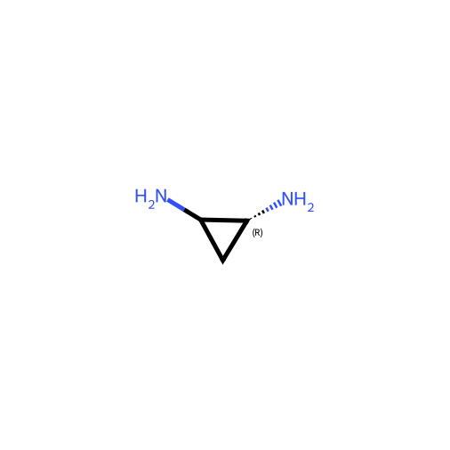 NC1C[C@H]1N